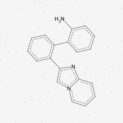 Nc1ccccc1-c1ccccc1-c1cn2ccccc2n1